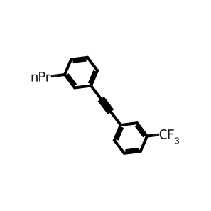 C[CH]Cc1cccc(C#Cc2cccc(C(F)(F)F)c2)c1